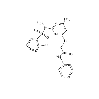 Cc1cc(OCC(=O)Nc2ccncc2)cc(N(C)S(=O)(=O)c2ccccc2Cl)c1